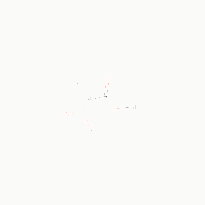 CC(=O)NOC(=O)C(C(C)=O)=S(=O)=O